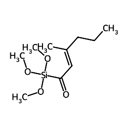 CCCC(C)=CC(=O)[Si](OC)(OC)OC